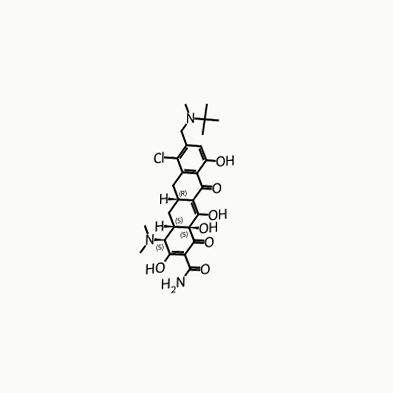 CN(C)[C@@H]1C(O)=C(C(N)=O)C(=O)[C@@]2(O)C(O)=C3C(=O)c4c(O)cc(CN(C)C(C)(C)C)c(Cl)c4C[C@H]3C[C@@H]12